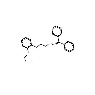 O=C(O)COc1ccccc1CCCON=C(c1ccccc1)c1cccnc1